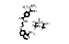 CN(C)C(=N)c1ccc(C(=O)NCCOc2ccc3ccnc(N)c3c2)cc1.O=C(O)C(F)(F)F.O=C(O)C(F)(F)F